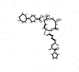 C/C(=C\C=C\[C@@H](C)CN(C)C(=O)N1CCCC1)[C@H]1OC(=O)C[C@@H](O)CC[C@](C)(O)[C@@H](OC(=O)N2CCN(C3CCCCCC3)CC2)/C=C/[C@@H]1C